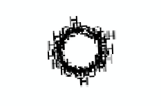 O=C1CCSSCC(C(=O)O)NC(=O)CNC(=O)CNC(=O)CNC(=O)CNC(=O)CNC(=O)CNC(=O)CNC(=O)CNC(=O)CNC(=O)CN1